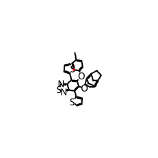 Cc1ccc(Oc2c(OC3C4=C5CCC(=C3CC4)C5)c(-c3cccs3)c3nsnc3c2-c2cccs2)cc1